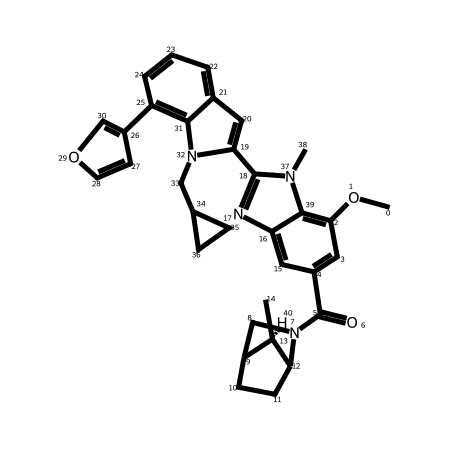 COc1cc(C(=O)N2CC3CCC2[C@@H]3C)cc2nc(-c3cc4cccc(-c5ccoc5)c4n3CC3CC3)n(C)c12